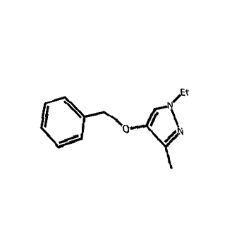 CCn1cc(OCc2ccccc2)c(C)n1